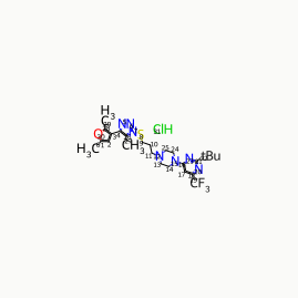 Cc1cc(-c2nnn(SCCCN3CCN(c4cc(C(F)(F)F)nc(C(C)(C)C)n4)CC3)c2C)c(C)o1.Cl